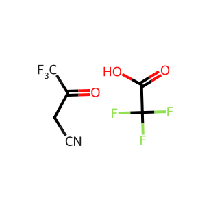 N#CCC(=O)C(F)(F)F.O=C(O)C(F)(F)F